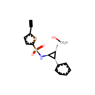 C#Cc1ccc(S(=O)(=O)N[C@H]2[C@H](C)[C@@H]2c2ccccc2)s1.O=C(O)O